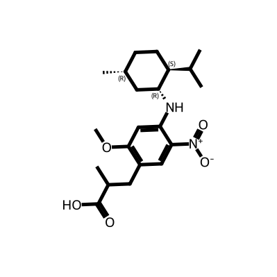 COc1cc(N[C@@H]2C[C@H](C)CC[C@H]2C(C)C)c([N+](=O)[O-])cc1CC(C)C(=O)O